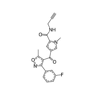 C#CCNC(=O)c1cc(C(=O)c2c(-c3cccc(F)c3)noc2C)cn1C